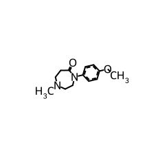 COc1ccc(N2CCN(C)CCC2=O)cc1